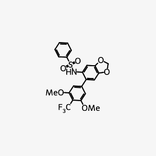 COc1cc(-c2cc3c(cc2NS(=O)(=O)c2ccccc2)OCO3)cc(OC)c1C(F)(F)F